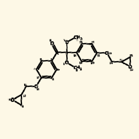 COC(OC)(C(=O)c1ccc(OCC2CO2)cc1)c1ccc(OCC2CO2)cc1